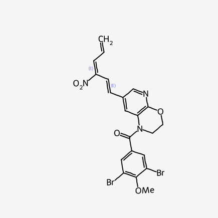 C=C/C=C(\C=C\c1cnc2c(c1)N(C(=O)c1cc(Br)c(OC)c(Br)c1)CCO2)[N+](=O)[O-]